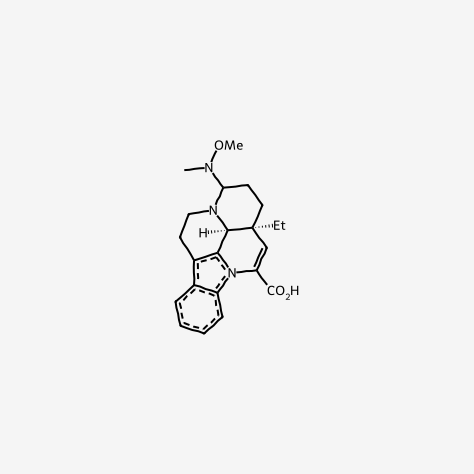 CC[C@@]12C=C(C(=O)O)n3c4c(c5ccccc53)CCN(C(N(C)OC)CC1)[C@H]42